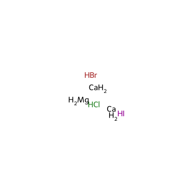 Br.Cl.I.[CaH2].[CaH2].[MgH2]